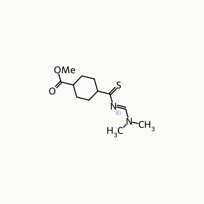 COC(=O)C1CCC(C(=S)/N=C/N(C)C)CC1